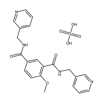 COc1ccc(C(=O)NCc2cccnc2)cc1C(=O)NCc1cccnc1.O=S(=O)(O)O